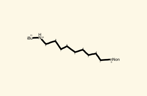 CCCCCCCCCCCCCCCCCCNC(C)CC